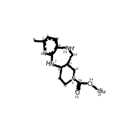 Cc1ccc2c(n1)NC1CCN(C(=O)OC(C)(C)C)CC1CN2